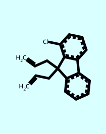 C=CCC1(CC=C)c2ccccc2-c2cccc(Cl)c21